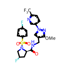 COc1nn(-c2ccc(C(F)(F)F)nc2)cc1CNC(=O)[C@H]1C[C@@H](F)CN1S(=O)(=O)c1ccc(F)cc1